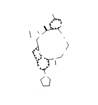 CC[C@H]1c2cc3nc(N4CC[C@H](N)C4)cc(n3n2)N(C)CCCCNc2ncc(Cl)cc2C(=O)N1C